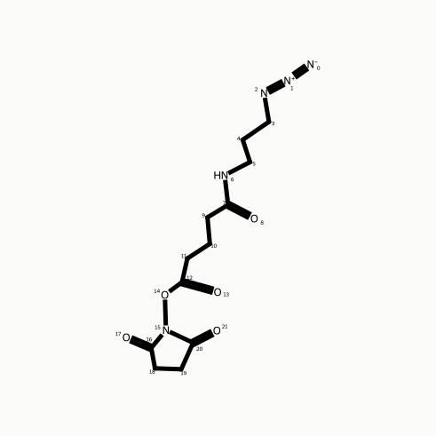 [N-]=[N+]=NCCCNC(=O)CCCC(=O)ON1C(=O)CCC1=O